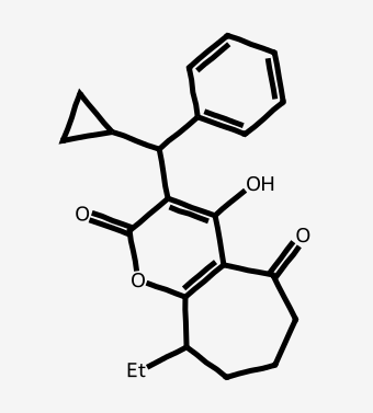 CCC1CCCC(=O)c2c1oc(=O)c(C(c1ccccc1)C1CC1)c2O